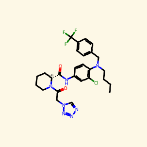 CCCCN(Cc1ccc(C(F)(F)F)cc1)c1ccc(NC(=O)[C@H]2CCCCN2C(=O)Cn2cnnn2)cc1Cl